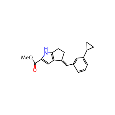 COC(=O)c1cc2c([nH]1)CC/C2=C\c1cccc(C2CC2)c1